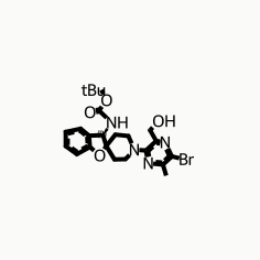 Cc1nc(N2CCC3(CC2)Oc2ccccc2[C@H]3NC(=O)OC(C)(C)C)c(CO)nc1Br